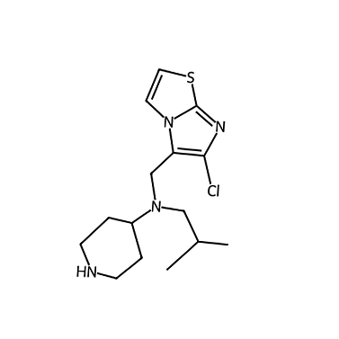 CC(C)CN(Cc1c(Cl)nc2sccn12)C1CCNCC1